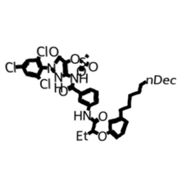 CCCCCCCCCCCCCCCc1cccc(OC(CC)C(=O)Nc2cccc(C(=O)Nc3[nH]n(-c4c(Cl)cc(Cl)cc4Cl)c(=O)c3OS(C)(=O)=O)c2)c1